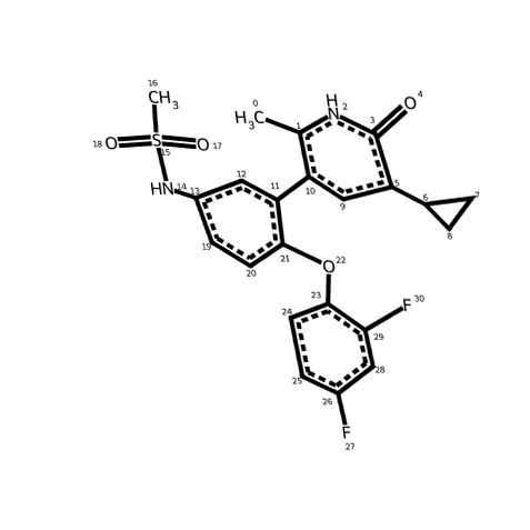 Cc1[nH]c(=O)c(C2CC2)cc1-c1cc(NS(C)(=O)=O)ccc1Oc1ccc(F)cc1F